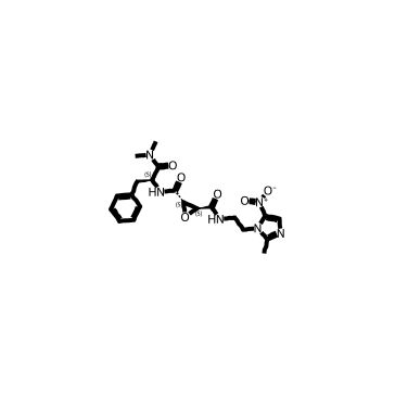 Cc1ncc([N+](=O)[O-])n1CCNC(=O)[C@H]1O[C@@H]1C(=O)N[C@@H](Cc1ccccc1)C(=O)N(C)C